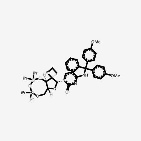 COc1ccc(C(Nc2ccn([C@@H]3O[C@@H]4CO[Si](C(C)C)(C(C)C)O[Si](C(C)C)(C(C)C)O[C@H]4[C@]34CCS4)c(=O)n2)(c2ccccc2)c2ccc(OC)cc2)cc1